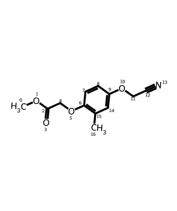 COC(=O)COc1ccc(OCC#N)cc1C